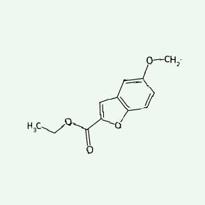 [CH2]Oc1ccc2oc(C(=O)OCC)cc2c1